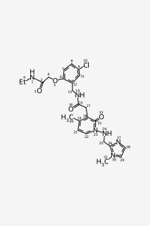 CCNC(=O)COc1ccc(Cl)cc1CNC(=O)Cc1c(C)ccn(NCc2nccn2C)c1=O